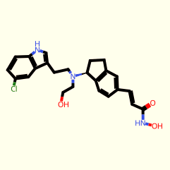 O=C(/C=C/c1ccc2c(c1)CC[C@@H]2N(CCO)CCc1c[nH]c2ccc(Cl)cc12)NO